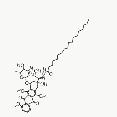 CCCCCCCCCCCCCCCCCC(=O)N/N=C(\CO)[C@]1(O)Cc2c(O)c3c(c(O)c2[C@@H](O[C@H]2C[C@H](N)[C@H](O)[C@H](C)O2)C1)C(=O)c1c(OC)cccc1C3=O